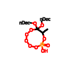 CCCCCCCCCCOC1(OCCCCCCCCCC)OOOOOP(=O)(O)OC1C